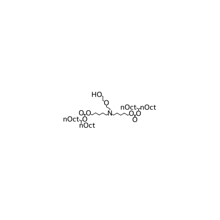 CCCCCCCCC(CCCCCCCC)OC(=O)OCCCCCN(CCCCCOC(=O)OC(CCCCCCCC)CCCCCCCC)CCOCCO